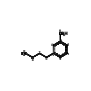 O=C(O)c1cccc(CCOC(F)(F)F)c1